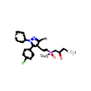 COP(=O)(/C=C/c1c(C(C)C)nn(-c2ccccc2)c1-c1ccc(F)cc1)CC(=O)CC(=O)O